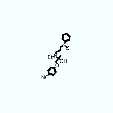 CCN(CCC[S+]([O-])c1ccccc1)C(C)(O)COc1ccc(C#N)cc1